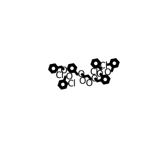 O=C(CC(=O)OCc1cccc(OCc2ccccc2Cl)c1OCc1ccccc1Cl)OCc1cccc(OCc2ccccc2Cl)c1OCc1ccccc1Cl